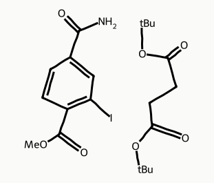 CC(C)(C)OC(=O)CCC(=O)OC(C)(C)C.COC(=O)c1ccc(C(N)=O)cc1I